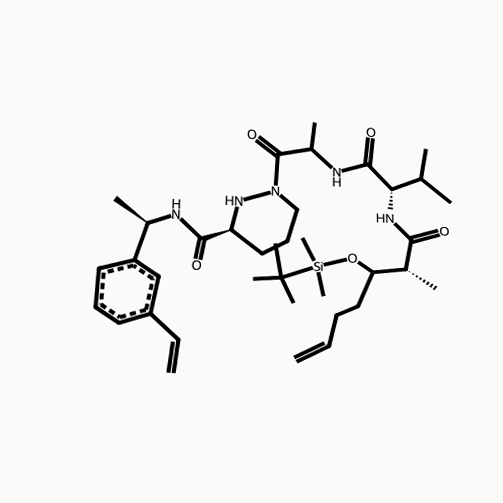 C=CCCC(O[Si](C)(C)C(C)(C)C)[C@@H](C)C(=O)N[C@H](C(=O)NC(C)C(=O)N1CCC[C@@H](C(=O)N[C@H](C)c2cccc(C=C)c2)N1)C(C)C